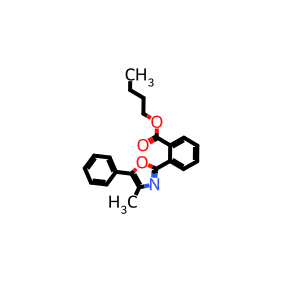 CCCCOC(=O)c1ccccc1-c1nc(C)c(-c2ccccc2)o1